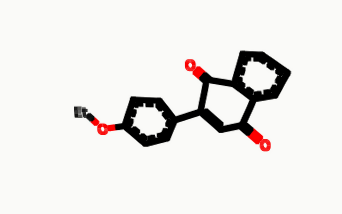 CCOc1ccc(C2=CC(=O)c3ccccc3C2=O)cc1